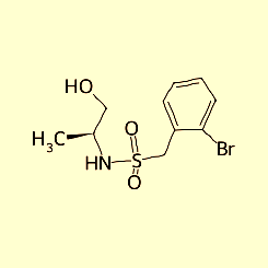 C[C@@H](CO)NS(=O)(=O)Cc1ccccc1Br